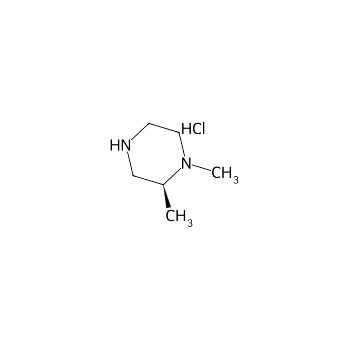 C[C@H]1CNCCN1C.Cl